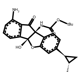 C[C@H]1C[C@@H]1c1ccc2c(c1)O[C@]1(O)c3cccc(N)c3C(=O)[C@]21NC(=O)OC(C)(C)C